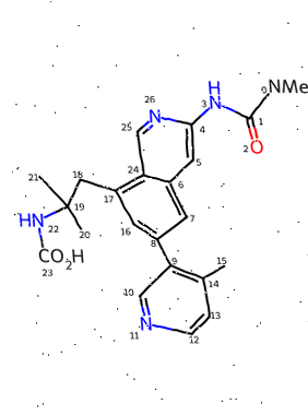 CNC(=O)Nc1cc2cc(-c3cnccc3C)cc(CC(C)(C)NC(=O)O)c2cn1